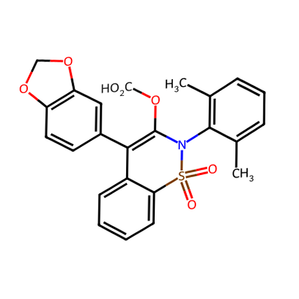 Cc1cccc(C)c1N1C(OC(=O)O)=C(c2ccc3c(c2)OCO3)c2ccccc2S1(=O)=O